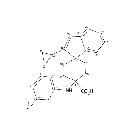 O=C(O)C1(Nc2cccc(Cl)c2)CCC2(CC1)C(C1CC1)=Cc1ccccc12